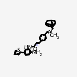 CN(Cc1ccc(/C=C/C(=O)Nc2cc(-c3cccs3)ccc2N)cc1)CC12CC3CC(CC(C3)C1)C2